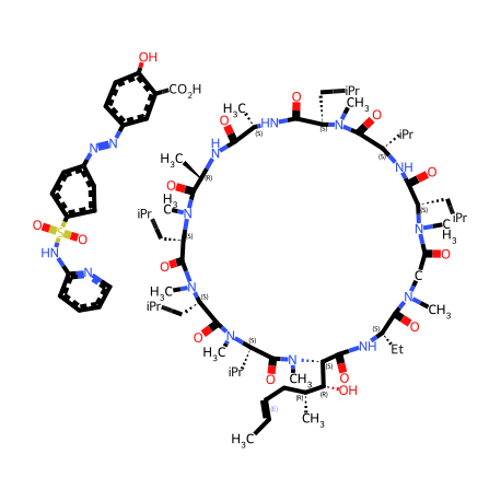 C/C=C/C[C@@H](C)[C@@H](O)[C@H]1C(=O)N[C@@H](CC)C(=O)N(C)CC(=O)N(C)[C@@H](CC(C)C)C(=O)N[C@@H](C(C)C)C(=O)N(C)[C@@H](CC(C)C)C(=O)N[C@@H](C)C(=O)N[C@H](C)C(=O)N(C)[C@@H](CC(C)C)C(=O)N(C)[C@@H](CC(C)C)C(=O)N(C)[C@@H](C(C)C)C(=O)N1C.O=C(O)c1cc(N=Nc2ccc(S(=O)(=O)Nc3ccccn3)cc2)ccc1O